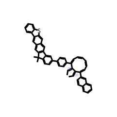 C/C=c1/c(-c2ccc(-c3ccc4c(c3)-c3cc5cc6sc7ccccc7c6cc5cc3C4(C)C)cc2)ccccccc(-c2ccc3ccccc3c2)/c1=C/C